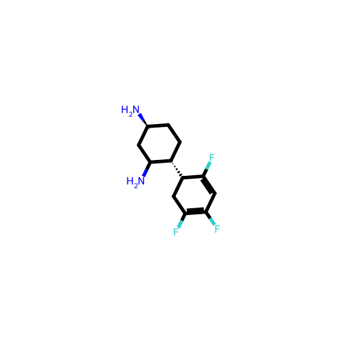 NC1C[C@@H](N)CC[C@@H]1C1CC(F)=C(F)C=C1F